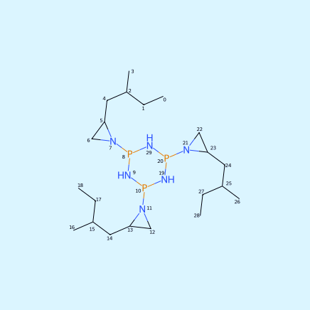 CCC(C)CC1CN1P1NP(N2CC2CC(C)CC)NP(N2CC2CC(C)CC)N1